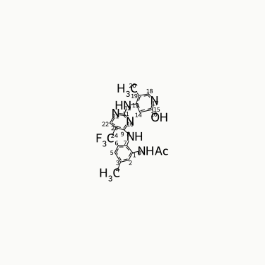 CC(=O)Nc1cc(C)ccc1Nc1nc(Nc2cc(O)ncc2C)ncc1C(F)(F)F